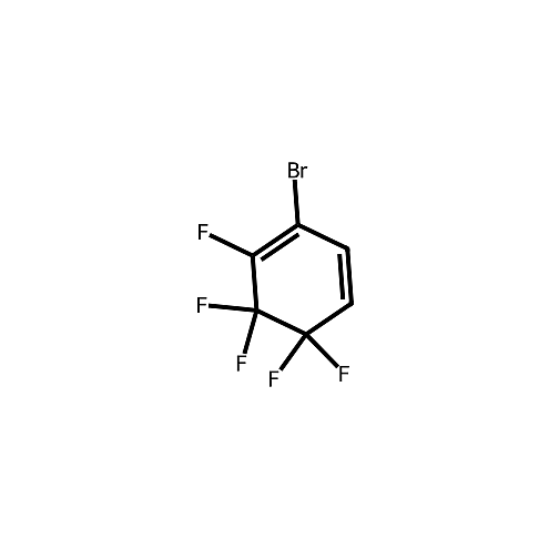 FC1=C(Br)C=CC(F)(F)C1(F)F